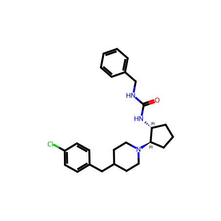 O=C(NCc1ccccc1)N[C@@H]1CCC[C@H]1N1CCC(Cc2ccc(Cl)cc2)CC1